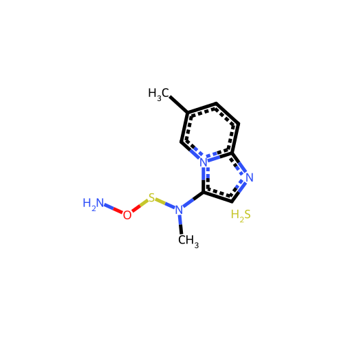 Cc1ccc2ncc(N(C)SON)n2c1.S